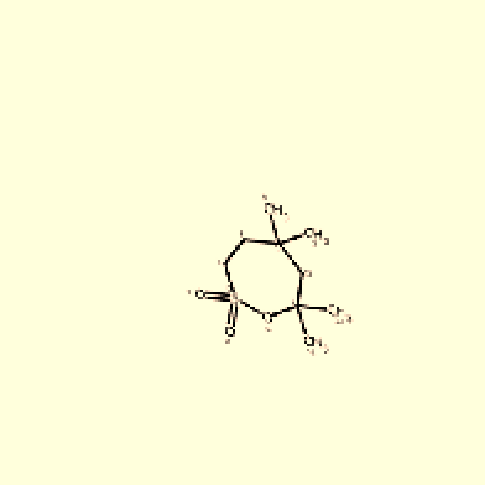 CC1(C)CCS(=O)(=O)OC(C)(C)C1